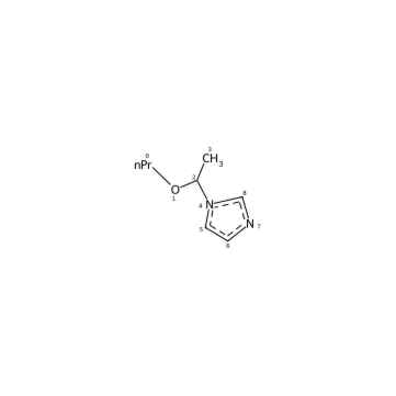 CCCOC(C)n1ccnc1